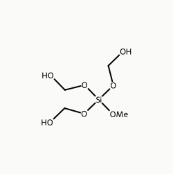 CO[Si](OCO)(OCO)OCO